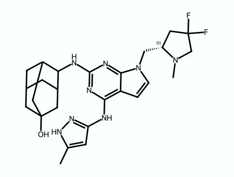 Cc1cc(Nc2nc(NC3C4CC5CC3CC(O)(C5)C4)nc3c2ccn3C[C@@H]2CC(F)(F)CN2C)n[nH]1